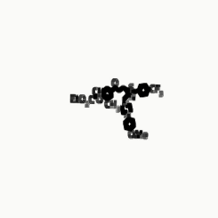 CCOC(=O)C(C)Oc1ccc(C(=O)CCc2sc(-c3ccc(C(F)(F)F)cc3)nc2CN2CCN(c3ccc(OC)cc3)CC2)cc1C